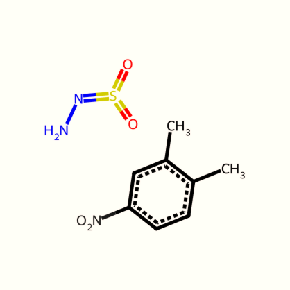 Cc1ccc([N+](=O)[O-])cc1C.NN=S(=O)=O